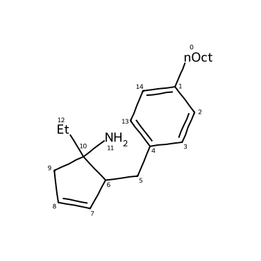 CCCCCCCCc1ccc(CC2C=CCC2(N)CC)cc1